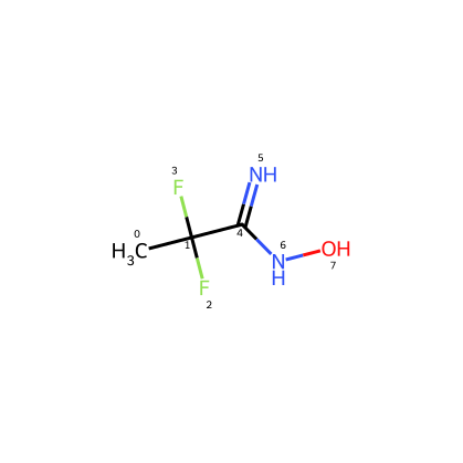 CC(F)(F)C(=N)NO